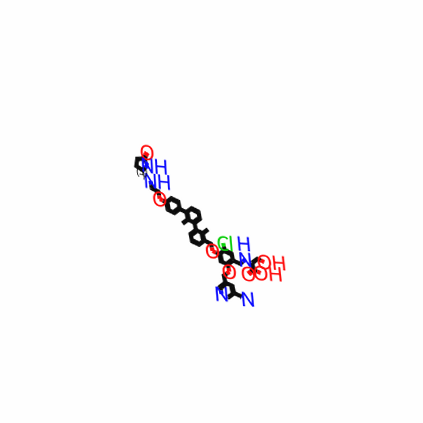 Cc1c(COc2cc(OCc3cncc(C#N)c3)c(CNC(CO)C(=O)O)cc2Cl)cccc1-c1cccc(-c2ccc(OCCNC[C@@H]3CCC(=O)N3)cc2)c1C